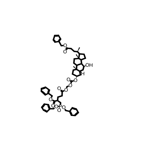 C[C@H](CCC(=O)OCc1ccccc1)C1CCC2C3C(CC[C@@]21C)[C@@]1(C)CC[C@@H](OC(=O)OCOC(=O)CCC(CP(=O)(OCc2ccccc2)OCc2ccccc2)C(=O)OCc2ccccc2)C[C@H]1C[C@@H]3O